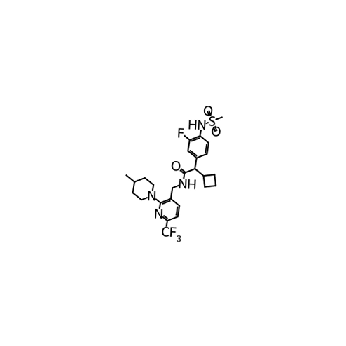 CC1CCN(c2nc(C(F)(F)F)ccc2CNC(=O)C(c2ccc(NS(C)(=O)=O)c(F)c2)C2CCC2)CC1